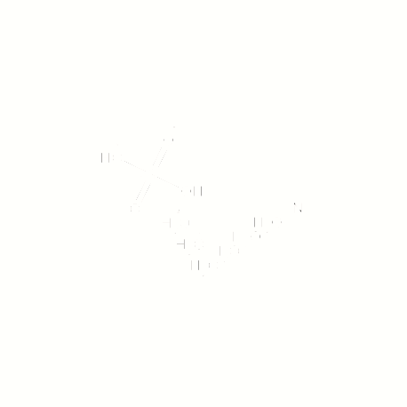 O.O.O.O.O.O.O=S(=O)(O)O.[Ni]